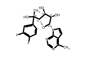 Cc1ncnc2c1ccn2[C@@H]1O[C@H]([C@@](C)(O)c2ccc(F)c(F)c2)[C@@H](O)[C@H]1O